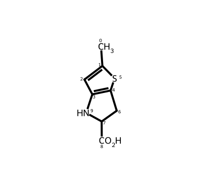 Cc1cc2c(s1)CC(C(=O)O)N2